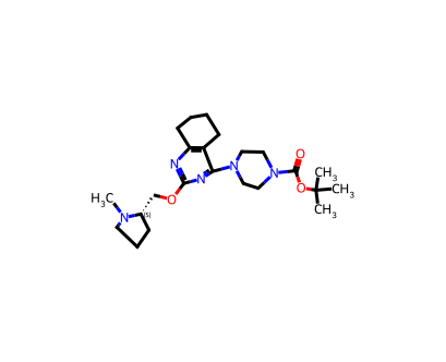 CN1CCC[C@H]1COc1nc2c(c(N3CCN(C(=O)OC(C)(C)C)CC3)n1)CCCC2